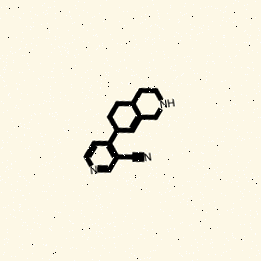 N#Cc1cnccc1C1C=C2CNCCC2CC1